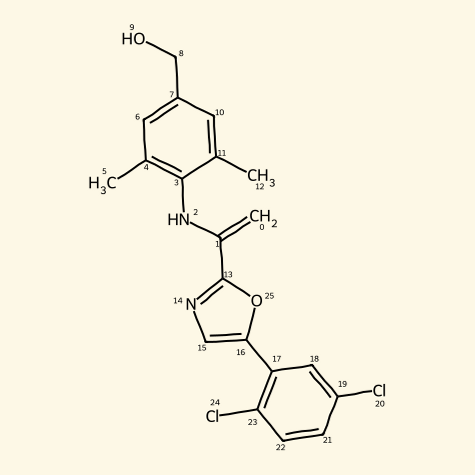 C=C(Nc1c(C)cc(CO)cc1C)c1ncc(-c2cc(Cl)ccc2Cl)o1